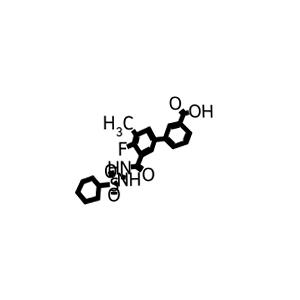 Cc1cc(-c2cccc(C(=O)O)c2)cc(C(=O)NNS(=O)(=O)C2CCCCC2)c1F